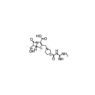 C[C@@H](O)C1C(=O)N2C(C(=O)O)=C(CN3CC[C@H](C(=O)NC(=N)N)C3)[C@H](C)[C@H]12